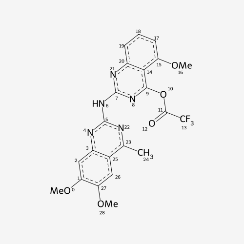 COc1cc2nc(Nc3nc(OC(=O)C(F)(F)F)c4c(OC)cccc4n3)nc(C)c2cc1OC